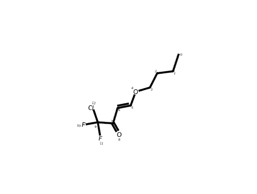 CCCCOC=CC(=O)C(F)(F)Cl